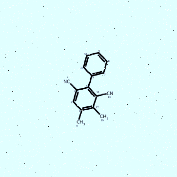 Cc1cc(C#N)c(-c2ccccc2)c(C#N)c1C